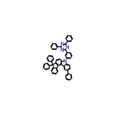 c1ccc(-c2ccc3c(c2)c2c4c(ccc2n3-c2cccc(-c3nc(-c5ccccc5)nc(-c5ccccc5)n3)c2)C(c2ccccc2)(c2ccccc2)c2ccccc2-4)cc1